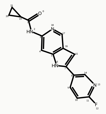 O=C(Nc1cc2[nH]c(-c3ccc(F)nc3)cc2cn1)C1CC1